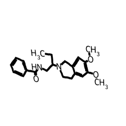 CCC(CNC(=O)c1ccccc1)N1CCc2cc(OC)c(OC)cc2C1